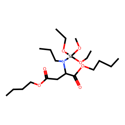 CCCCOC(=O)CC(C(=O)OCCCC)N(CCC)[Si](OC)(OCC)OCC